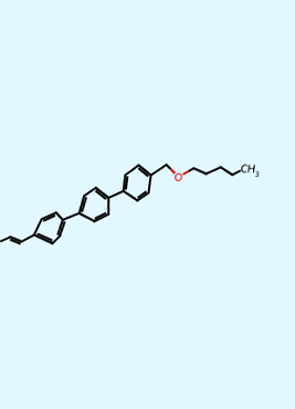 CC=Cc1ccc(-c2ccc(-c3ccc(COCCCCC)cc3)cc2)cc1